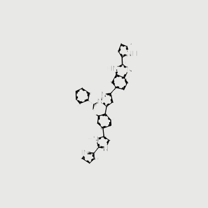 c1ccc([C@@H]2Oc3cc(-c4cnc(-c5ccc[nH]5)[nH]4)ccc3-c3cc(-c4ccc5nc(-c6ccc[nH]6)[nH]c5c4)nn32)cc1